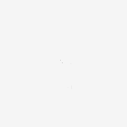 CC1N(Cc2ccccc2)c2ccc(Cl)cc2C1(C)C